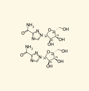 NC(=O)c1ncn([C@@H]2O[C@H](CO)[C@@H](O)[C@H]2O)n1.NC(=O)c1ncn([C@@H]2O[C@H](CO)[C@@H](O)[C@H]2O)n1